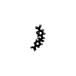 CC(C)C1CCC(C(C)(C)CC2CCC(C(C)C)OC2)CC1